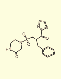 O=C1CN(S(=O)(=O)C[C@H](Cc2ccccc2)C(=O)c2nc[c]s2)CCN1